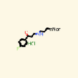 CCCCCCCCCCCCNCCC(=O)c1ccc(F)cc1.Cl